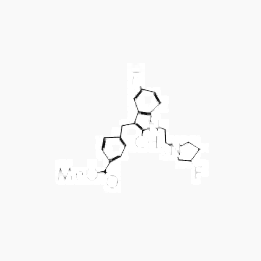 COC(=O)c1ccc(Cc2c(C)n(CCN3CC[C@H](F)C3)c3ccc(F)cc23)cc1